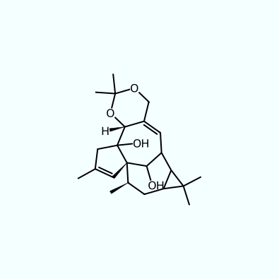 CC1=C[C@]23C(O)C(C=C4COC(C)(C)O[C@H]4C2(O)C1)C1C(C[C@H]3C)C1(C)C